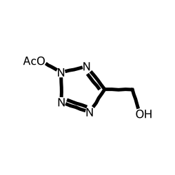 CC(=O)On1nnc(CO)n1